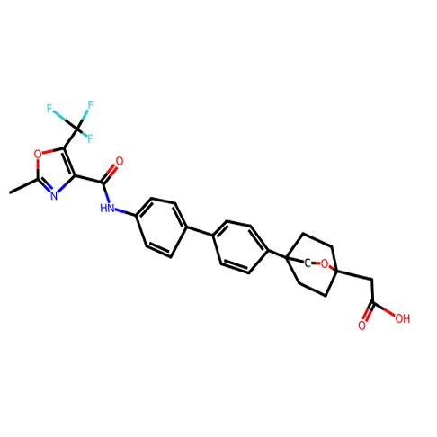 Cc1nc(C(=O)Nc2ccc(-c3ccc(C45CCC(CC(=O)O)(CC4)OC5)cc3)cc2)c(C(F)(F)F)o1